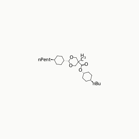 CCCCC[C@H]1CC[C@H](C2OCC(C)(C(=O)O[C@H]3CC[C@H](CCCC)CC3)CO2)CC1